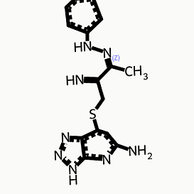 C/C(=N/Nc1ccccc1)C(=N)CSc1cc(N)nc2[nH]nnc12